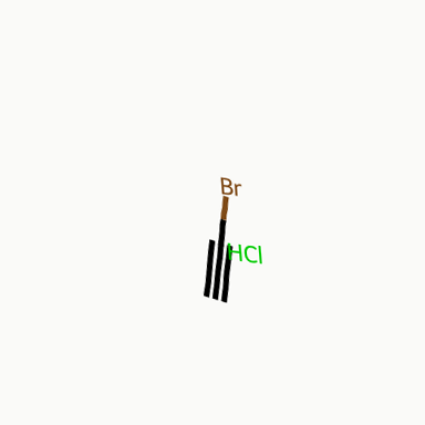 C#CBr.Cl